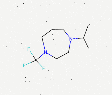 CC(C)N1CCCN(C(F)(F)F)CC1